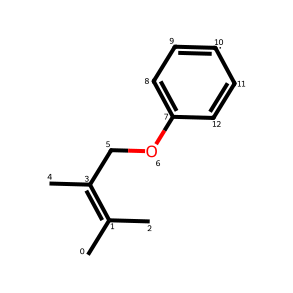 CC(C)=C(C)COc1cc[c]cc1